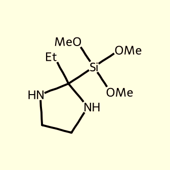 CCC1([Si](OC)(OC)OC)NCCN1